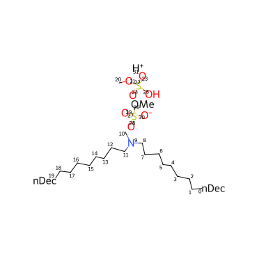 CCCCCCCCCCCCCCCCCCN(C)CCCCCCCCCCCCCCCCCC.COS(=O)(=O)O.COS(=O)(=O)[O-].[H+]